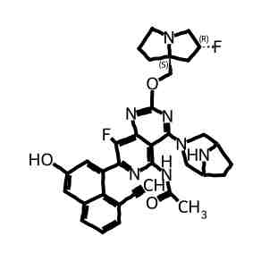 C#Cc1cccc2cc(O)cc(-c3nc(NC(C)=O)c4c(N5CC6CCC(C5)N6)nc(OC[C@@]56CCCN5C[C@H](F)C6)nc4c3F)c12